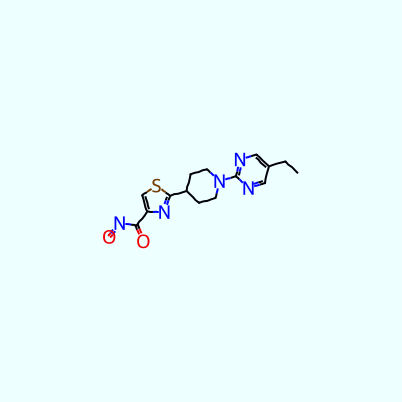 CCc1cnc(N2CCC(c3nc(C(=O)N=O)cs3)CC2)nc1